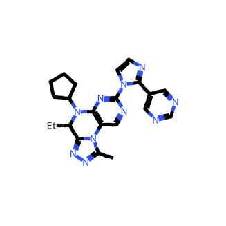 CCC1c2nnc(C)n2-c2cnc(-n3ccnc3-c3cncnc3)nc2N1C1CCCC1